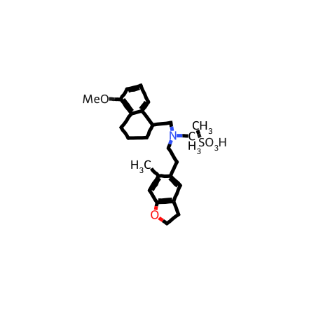 COc1cccc2c1CCCC2CN(C)CCc1cc2c(cc1C)OCC2.CS(=O)(=O)O